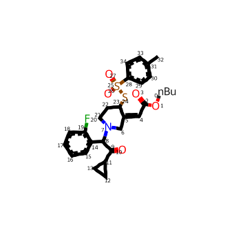 CCCCOC(=O)/C=C1/CN(C(C(=O)C2CC2)c2ccccc2F)CCC1SS(=O)(=O)c1ccc(C)cc1